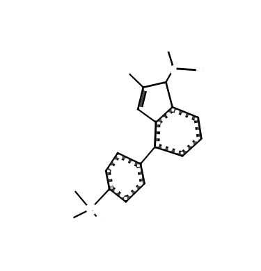 CC1=Cc2c(-c3ccc([Si](C)(C)C)cc3)cccc2[CH]1[Zr]([Cl])[Cl]